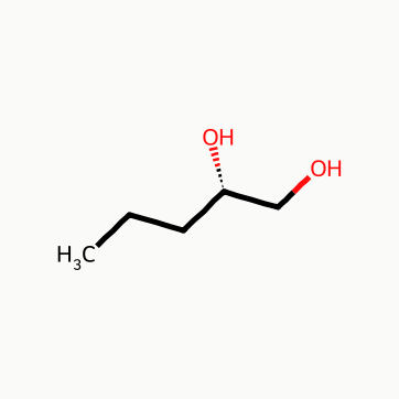 CCC[C@H](O)CO